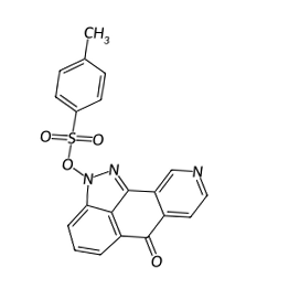 Cc1ccc(S(=O)(=O)On2nc3c4c(cccc42)C(=O)c2ccncc2-3)cc1